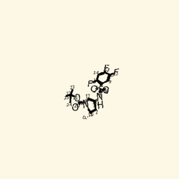 C[C@H]1C[C@@H](NS(=O)(=O)c2cc(F)c(F)cc2F)CN1C(=O)OC(C)(C)C